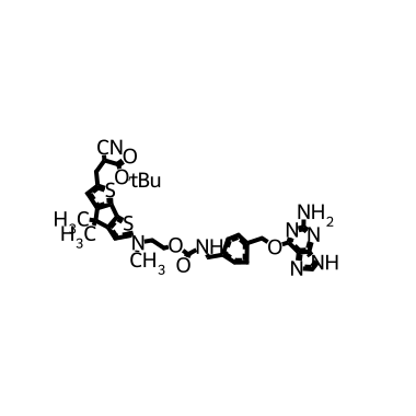 CN(CCOC(=O)NCc1ccc(COc2nc(N)nc3[nH]cnc23)cc1)c1cc2c(s1)-c1sc(CC(C#N)C(=O)OC(C)(C)C)cc1C2(C)C